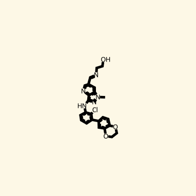 Cn1nc(Nc2cccc(-c3ccc4c(c3)OCCO4)c2Cl)c2ncc(C=NCCO)cc21